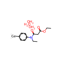 CCOC(=O)CC(=O)N(CC)c1cc[c]([Ge])cc1.O.O.O